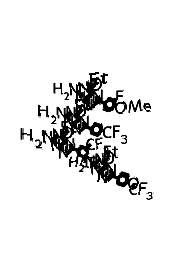 CCOc1nc(N)nc2ncc(-c3cc(C(F)(F)F)cc(C(F)(F)F)c3)nc12.CCOc1nc(N)nc2ncc(-c3ccc(C(F)(F)F)cc3)nc12.CCOc1nc(N)nc2ncc(-c3ccc(OC(F)(F)F)cc3)nc12.CCOc1nc(N)nc2ncc(-c3ccc(OC)c(F)c3)nc12